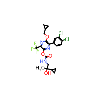 CC(O)(CNC(=O)Oc1nc(-c2ccc(Cl)c(Cl)c2)c(OCC2CC2)nc1C(F)(F)F)C1CC1